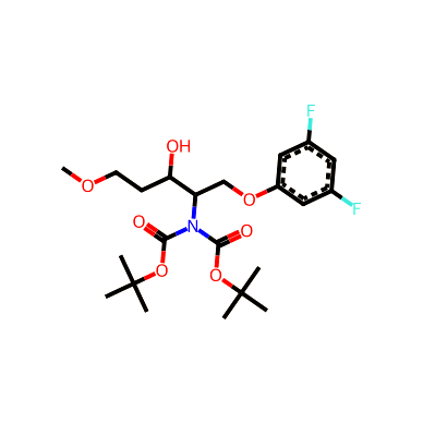 COCCC(O)C(COc1cc(F)cc(F)c1)N(C(=O)OC(C)(C)C)C(=O)OC(C)(C)C